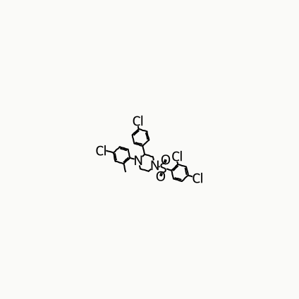 Cc1cc(Cl)ccc1N1CCN(S(=O)(=O)c2ccc(Cl)cc2Cl)CC1c1ccc(Cl)cc1